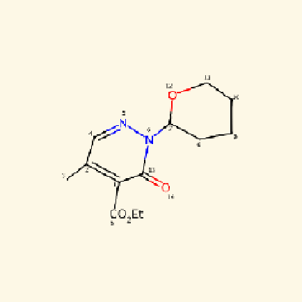 CCOC(=O)c1c(C)cnn(C2CCCCO2)c1=O